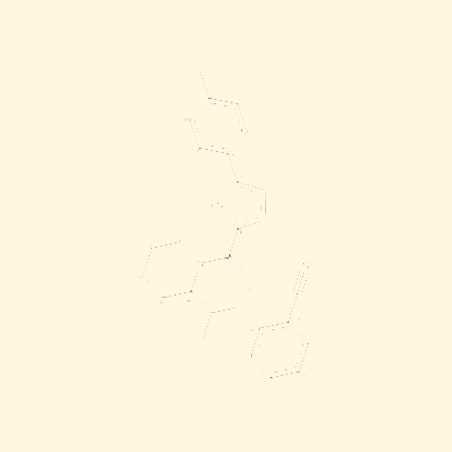 Cc1ccc(-c2csc(C(=O)N3CCCCC3C(C)Oc3ccccc3C#N)n2)cc1